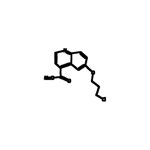 COC(=O)c1ccnc2ccc(OCCCCl)cc12